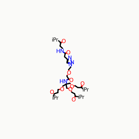 CC(C)C(=O)CCNC(=O)Cc1cn(CCOCC(=O)NC(COCCC(=O)C(C)C)(COCCC(=O)C(C)C)COCCC(=O)C(C)C)nn1